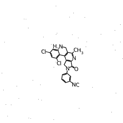 [C-]#[N+]c1cccc(N2Cc3c(nc(C)c(CN)c3-c3ccc(Cl)cc3Cl)C2=O)c1